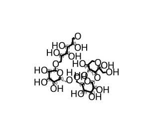 O=C[C@H](O)[C@@H](O)[C@H](O)[C@H](O)CO[C@H]1O[C@H](CO)[C@@H](O)[C@H](O)[C@H]1O.OC[C@H]1O[C@H](O[C@H]2[C@H](O)[C@H](O)CO[C@@]2(O)CO)[C@H](O)[C@@H](O)[C@@H]1O